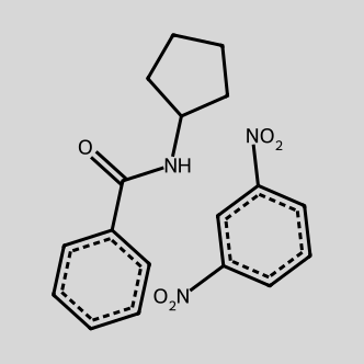 O=C(NC1CCCC1)c1ccccc1.O=[N+]([O-])c1cccc([N+](=O)[O-])c1